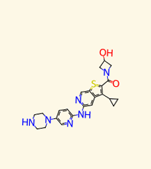 O=C(c1sc2cnc(Nc3ccc(N4CCNCC4)cn3)cc2c1C1CC1)N1CC(O)C1